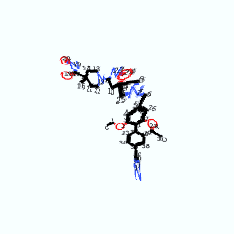 CCOc1cc(CN2CC3(CC(N4CCC(C)(C(=O)N=O)CC4)=NO3)C2)cc(OCC)c1C1C=CC(C#N)=CC1